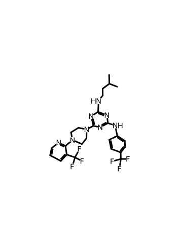 CC(C)CCNc1nc(Nc2ccc(C(F)(F)F)cc2)nc(N2CCN(c3ncccc3C(F)(F)F)CC2)n1